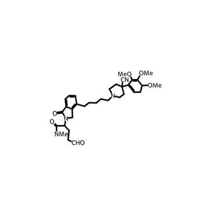 CNC(=O)C(CCC=O)N1Cc2c(CCCCCN3CCC(C#N)(C4=CCC(OC)C(OC)=C4OC)CC3)cccc2C1=O